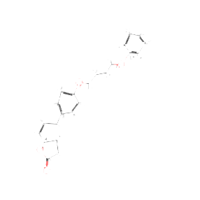 O=C1CC[C@H](/C=C\Cc2ccc(OCCCCOc3ccccc3)cc2)O1